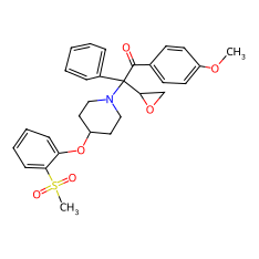 COc1ccc(C(=O)C(c2ccccc2)(C2CO2)N2CCC(Oc3ccccc3S(C)(=O)=O)CC2)cc1